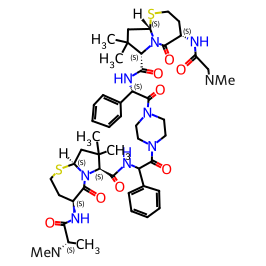 CNCC(=O)N[C@H]1CCS[C@H]2CC(C)(C)[C@@H](C(=O)N[C@H](C(=O)N3CCN(C(=O)C(NC(=O)[C@H]4N5C(=O)[C@@H](NC(=O)[C@H](C)NC)CCS[C@H]5CC4(C)C)c4ccccc4)CC3)c3ccccc3)N2C1=O